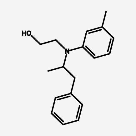 Cc1cccc(N(CCO)C(C)Cc2ccccc2)c1